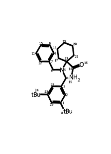 CC(C)(C)c1cc(CN(Cc2ccccc2)C2(C(N)=O)CCCCC2)cc(C(C)(C)C)c1